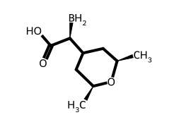 B[C@H](C(=O)O)C1C[C@@H](C)O[C@@H](C)C1